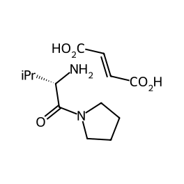 CC(C)[C@H](N)C(=O)N1CCCC1.O=C(O)/C=C/C(=O)O